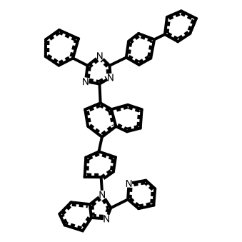 c1ccc(-c2ccc(-c3nc(-c4ccccc4)nc(-c4ccc(-c5ccc(-n6c(-c7ccccn7)nc7ccccc76)cc5)c5ccccc45)n3)cc2)cc1